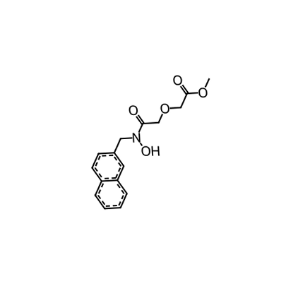 COC(=O)COCC(=O)N(O)Cc1ccc2ccccc2c1